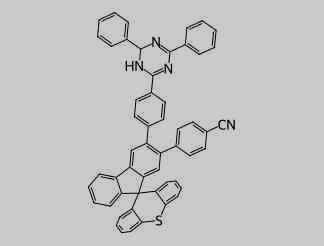 N#Cc1ccc(-c2cc3c(cc2-c2ccc(C4=NC(c5ccccc5)=NC(c5ccccc5)N4)cc2)-c2ccccc2C32c3ccccc3Sc3ccccc32)cc1